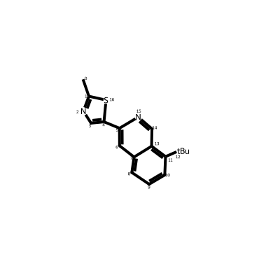 Cc1ncc(-c2cc3cccc(C(C)(C)C)c3cn2)s1